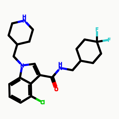 O=C(NCC1CCC(F)(F)CC1)c1cn(CC2CCNCC2)c2cccc(Cl)c12